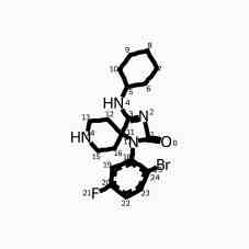 O=C1N=C(NC2CCCCC2)C2(CCNCC2)N1c1cc(F)ccc1Br